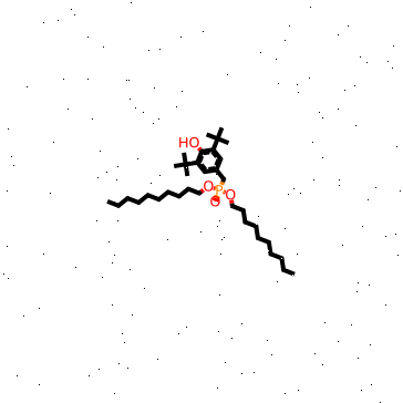 CCCCCCCCCCOP(=O)(Cc1cc(C(C)(C)C)c(O)c(C(C)(C)C)c1)OCCCCCCCCCC